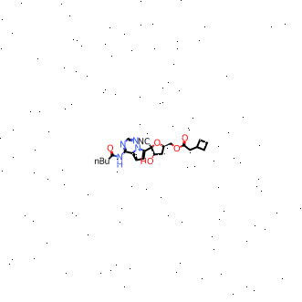 CCCCC(=O)Nc1ncnn2c([C@]3(C#N)O[C@@H](COC(=O)CC4CCC4)[CH][C@H]3O)ccc12